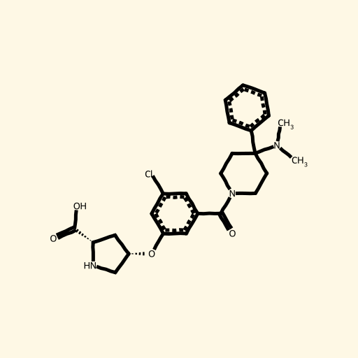 CN(C)C1(c2ccccc2)CCN(C(=O)c2cc(Cl)cc(O[C@@H]3CN[C@H](C(=O)O)C3)c2)CC1